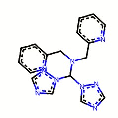 c1ccc(CN(Cc2ccccn2)C(n2cncn2)n2cncn2)nc1